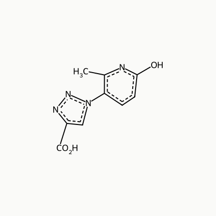 Cc1nc(O)ccc1-n1cc(C(=O)O)nn1